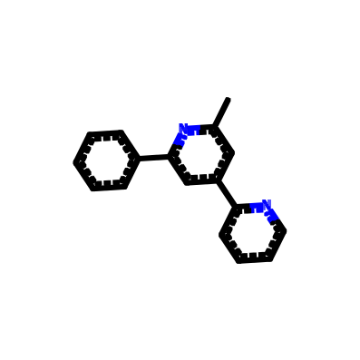 Cc1cc(-c2ccccn2)cc(-c2ccccc2)n1